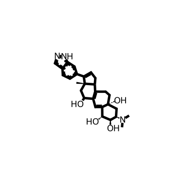 CN(C)[C@H]1C[C@]2(O)CCC3=C(C=C2[C@@H](O)[C@@H]1O)C(O)C[C@]1(C)C(c2ccc4cn[nH]c4c2)=CCC31